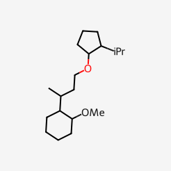 COC1CCCCC1C(C)CCOC1CCCC1C(C)C